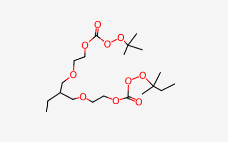 CCC(COCCOC(=O)OOC(C)(C)C)COCCOC(=O)OOC(C)(C)CC